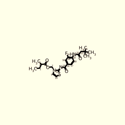 CCC(C)C(=O)OCn1ccsc1=NC(=O)c1ccc(NC(=O)CC(C)(C)C)c(F)c1